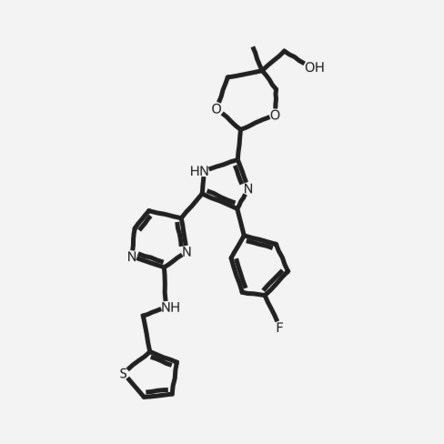 CC1(CO)COC(c2nc(-c3ccc(F)cc3)c(-c3ccnc(NCc4cccs4)n3)[nH]2)OC1